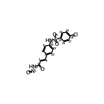 O=NNC(=O)/C=C/c1ccc(NS(=O)(=O)c2ccc(Cl)cc2)cc1